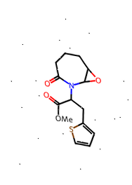 COC(=O)C(Cc1cccs1)N1C(=O)CCCC2OC21